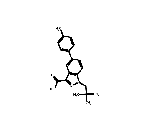 CC(=O)c1nn(CC(C)(C)C)c2ccc(-c3ccc(C)cc3)cc12